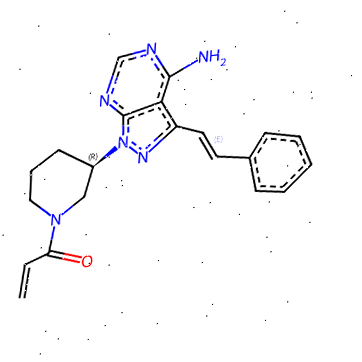 C=CC(=O)N1CCC[C@@H](n2nc(/C=C/c3ccccc3)c3c(N)ncnc32)C1